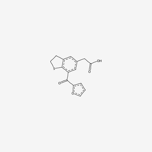 O=C(O)Cc1cc2c(c(C(=O)c3ccco3)c1)SCC2